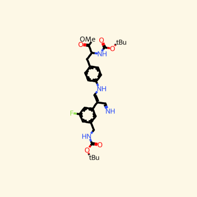 COC(=O)C(Cc1ccc(N/C=C(\C=N)c2cc(F)cc(CNC(=O)OC(C)(C)C)c2)cc1)NC(=O)OC(C)(C)C